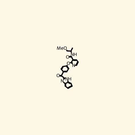 COCC(C)NC(=O)c1cccnc1Oc1ccc(C(=O)c2nc3ccccc3[nH]2)cc1